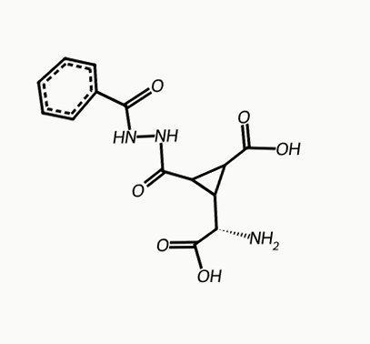 N[C@H](C(=O)O)C1C(C(=O)O)C1C(=O)NNC(=O)c1ccccc1